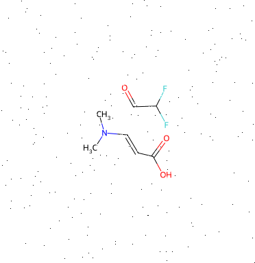 CN(C)C=CC(=O)O.O=CC(F)F